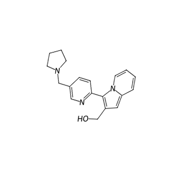 OCc1cc2ccccn2c1-c1ccc(CN2CCCC2)cn1